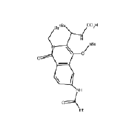 CCCCOc1c(C(NC(=O)O)C(C)(C)C)n(CC(C)C)c(=O)c2ccc(NC(=O)CC)cc12